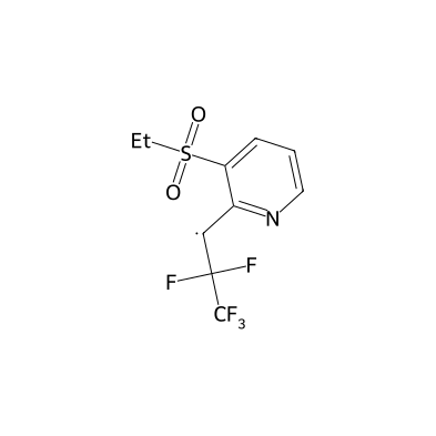 CCS(=O)(=O)c1cccnc1[CH]C(F)(F)C(F)(F)F